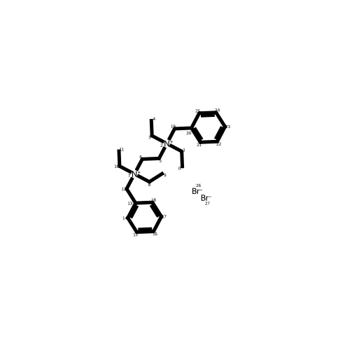 CC[N+](CC)(CC[N+](CC)(CC)Cc1ccccc1)Cc1ccccc1.[Br-].[Br-]